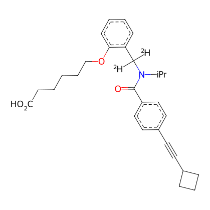 [2H]C([2H])(c1ccccc1OCCCCCC(=O)O)N(C(=O)c1ccc(C#CC2CCC2)cc1)C(C)C